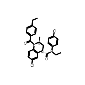 CCc1ccc(C(=O)N2c3ccc(Cl)cc3[C@@H](C(=O)N(CC)c3ccc(Cl)cc3)C[C@@H]2C)cc1